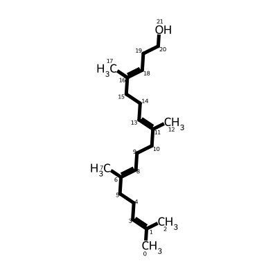 CC(C)=CCCC(C)=CCCC(C)=CCCC(C)=CCCO